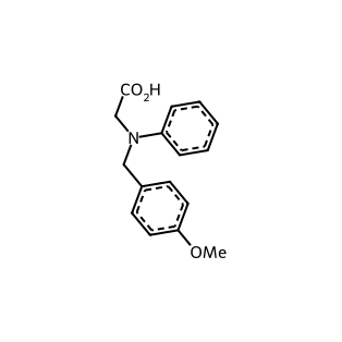 COc1ccc(CN(CC(=O)O)c2ccccc2)cc1